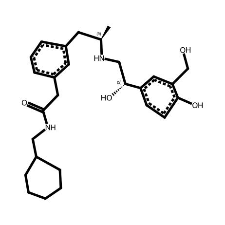 C[C@H](Cc1cccc(CC(=O)NCC2CCCCC2)c1)NC[C@@H](O)c1ccc(O)c(CO)c1